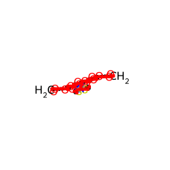 C=CC(=O)OCCCCCCOc1ccc(OC(=O)[C@H]2CC[C@H](C(=O)Oc3ccc(OC(=O)[C@H]4CC[C@H](C(=O)Oc5ccc(OCCCCCCOC(=O)C=C)cc5)CC4)c(/C=N/N(CCSc4ccccc4)c4nc5ccccc5s4)c3)CC2)cc1